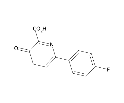 O=C(O)C1=NC(c2ccc(F)cc2)=CCC1=O